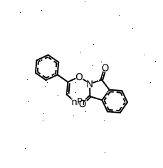 CCC/C=C(\ON1C(=O)c2ccccc2C1=O)c1ccccc1